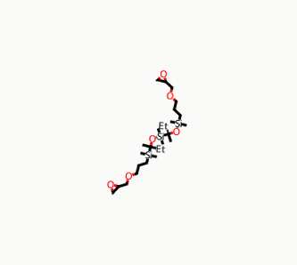 CCC(C)(O[Si](C)(C)[C@](C)(CC)O[Si](C)(C)CCCOCC1CO1)[Si](C)(C)CCCOCC1CO1